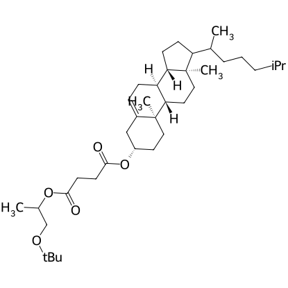 CC(C)CCCC(C)C1CC[C@H]2[C@@H]3CC=C4C[C@@H](OC(=O)CCC(=O)OC(C)COC(C)(C)C)CC[C@]4(C)[C@H]3CC[C@]12C